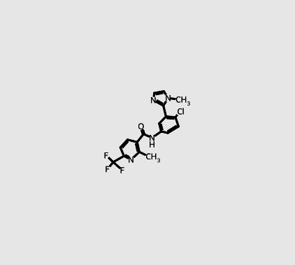 Cc1nc(C(F)(F)F)ccc1C(=O)Nc1ccc(Cl)c(-c2nccn2C)c1